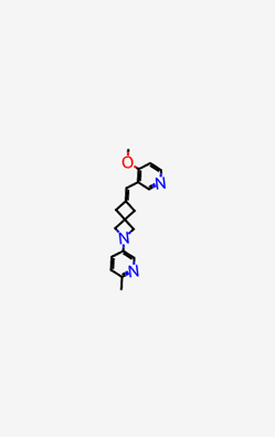 COc1ccncc1C=C1CC2(C1)CN(c1ccc(C)nc1)C2